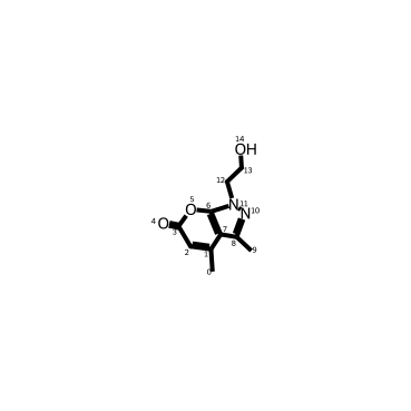 Cc1cc(=O)oc2c1c(C)nn2CCO